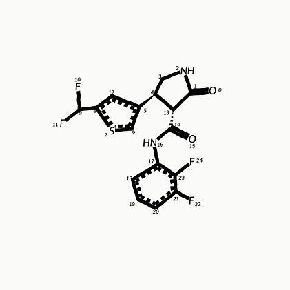 O=C1NC[C@H](c2csc(C(F)F)c2)[C@H]1C(=O)Nc1cccc(F)c1F